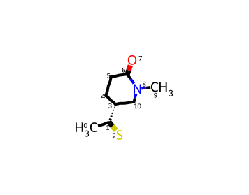 CC(=S)[C@@H]1CCC(=O)N(C)C1